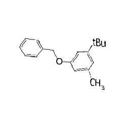 Cc1cc(OCc2ccccc2)cc(C(C)(C)C)c1